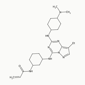 C=CC(=O)NC1CCCC(Nc2nc(NC3CCC(N(C)C)CC3)nc3c(CC)cnn23)C1